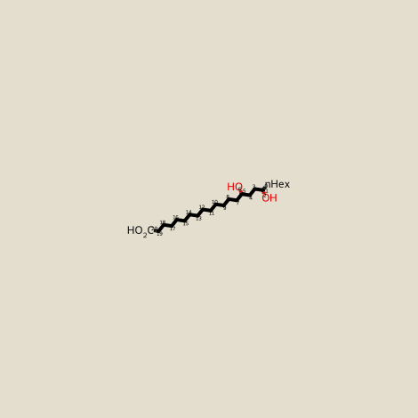 CCCCCCC(O)CCC(O)CCCCCCCCCCCCCC(=O)O